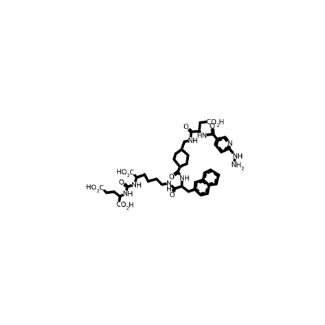 NNc1ccc(C(=O)NC(CC(=O)O)C(=O)NCC2CCC(C(=O)NC(Cc3ccc4ccccc4c3)C(=O)NCCCCC(NC(=O)NC(CCC(=O)O)C(=O)O)C(=O)O)CC2)cn1